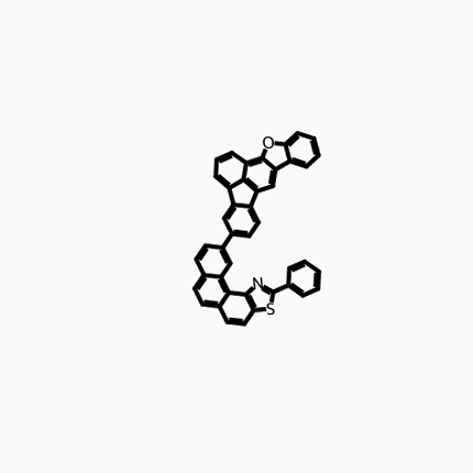 c1ccc(-c2nc3c(ccc4ccc5ccc(-c6ccc7c(c6)-c6cccc8c6c-7cc6c7ccccc7oc86)cc5c43)s2)cc1